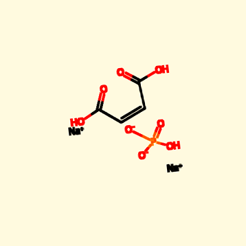 O=C(O)/C=C\C(=O)O.O=P([O-])([O-])O.[Na+].[Na+]